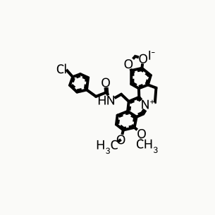 COc1ccc2c(CNC(=O)Cc3ccc(Cl)cc3)c3[n+](cc2c1OC)CCc1cc2c(cc1-3)OCO2.[I-]